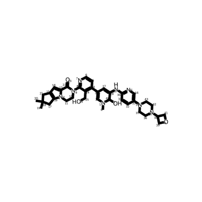 CN1C=C(c2ccnc(N3CCn4c(cc5c4CC(C)(C)C5)C3=O)c2CO)C=C(Nc2ccc(N3CCN(C4COC4)CC3)cn2)C1O